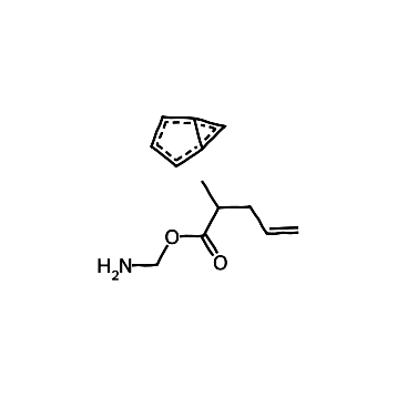 C=CCC(C)C(=O)OCN.c1cc2cc-2c1